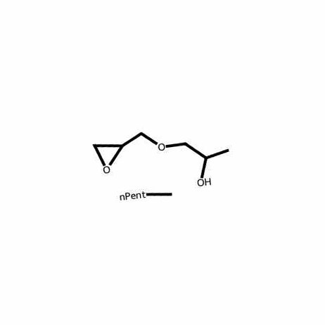 CC(O)COCC1CO1.CCCCCC